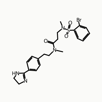 CN(CCc1ccc(C2=NCCN2)cc1)C(=O)CCN(C)S(=O)(=O)c1ccccc1Br